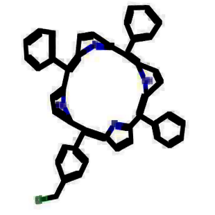 ClCc1ccc(-c2c3nc(c(-c4ccccc4)c4ccc([nH]4)c(-c4ccccc4)c4nc(c(-c5ccccc5)c5ccc2[nH]5)C=C4)C=C3)cc1